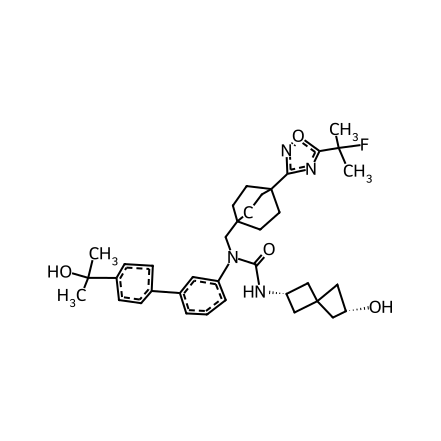 CC(C)(O)c1ccc(-c2cccc(N(CC34CCC(c5noc(C(C)(C)F)n5)(CC3)CC4)C(=O)N[C@H]3CC4(C[C@@H](O)C4)C3)c2)cc1